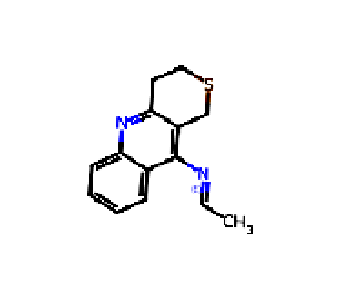 C/C=N/c1c2c(nc3ccccc13)CCSC2